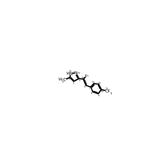 Cc1cc(C(F)=Cc2ccc(C(F)(F)F)cc2)n[nH]1